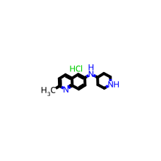 Cc1ccc2cc(NC3CCNCC3)ccc2n1.Cl